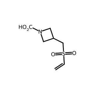 C=CS(=O)(=O)CC1CN(C(=O)O)C1